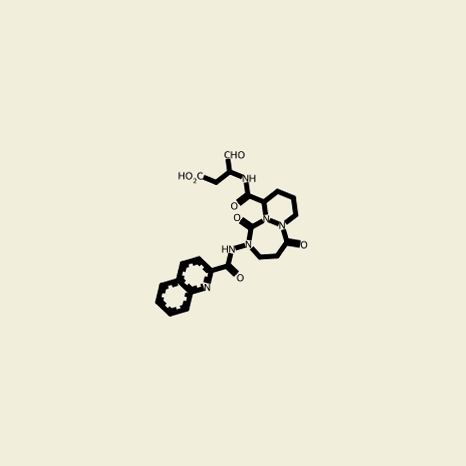 O=CC(CC(=O)O)NC(=O)C1CCCN2C(=O)CCN(NC(=O)c3ccc4ccccc4n3)C(=O)N12